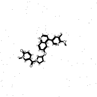 COc1ncc(-c2ccnc3ccc(OC4CCN(C(=O)c5ccc(=O)n(C)c5)C4)cc23)cc1C